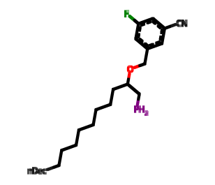 CCCCCCCCCCCCCCCCCCC(CP)OCc1cc(F)cc(C#N)c1